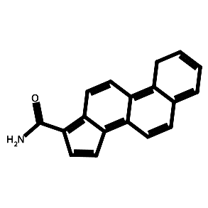 NC(=O)C1=c2ccc3c4c(ccc3c2C=C1)=CC=CC4